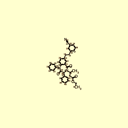 CCOC(=O)CC(C)N1C(=O)c2cc(CCc3cccc(C#N)c3)ccc2N(c2ccccc2)C(=O)C1c1ccccc1